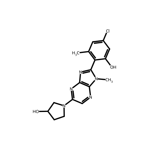 Cc1cc(Cl)cc(O)c1-c1nc2nc(N3CCC(O)C3)cnc2n1C